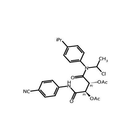 CC(=O)O[C@@H](C(=O)Nc1ccc(C#N)cc1)[C@@H](OC(C)=O)C(=O)N(c1ccc(C(C)C)cc1)C(C)Cl